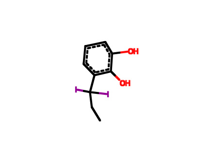 CCC(I)(I)c1cccc(O)c1O